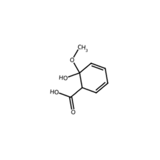 COC1(O)C=CC=CC1C(=O)O